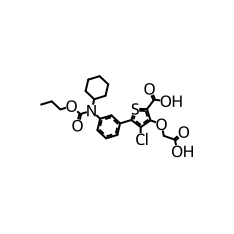 CCCOC(=O)N(c1cccc(-c2sc(C(=O)O)c(OCC(=O)O)c2Cl)c1)C1CCCCC1